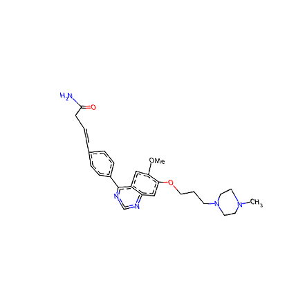 COc1cc2c(-c3ccc(C=CCC(N)=O)cc3)ncnc2cc1OCCCN1CCN(C)CC1